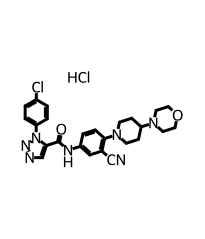 Cl.N#Cc1cc(NC(=O)c2cnnn2-c2ccc(Cl)cc2)ccc1N1CCC(N2CCOCC2)CC1